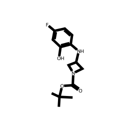 CC(C)(C)OC(=O)N1CC(Nc2ccc(F)cc2O)C1